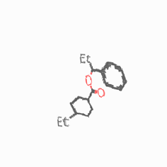 CCC1CCC(C(=O)OC(CC)c2ccccc2)CC1